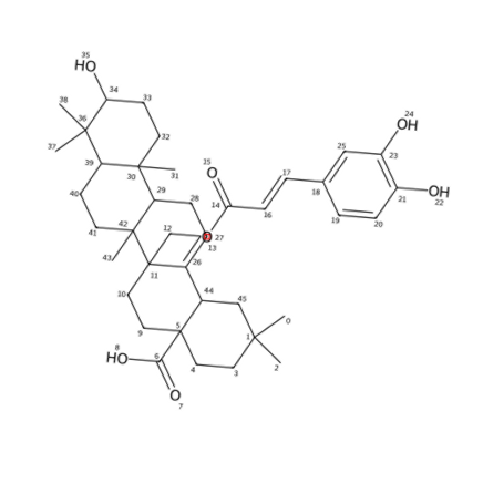 CC1(C)CCC2(C(=O)O)CCC3(COC(=O)C=Cc4ccc(O)c(O)c4)C(=CCC4C5(C)CCC(O)C(C)(C)C5CCC43C)C2C1